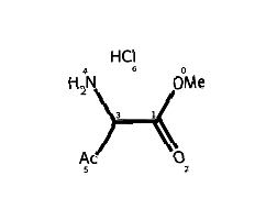 COC(=O)C(N)C(C)=O.Cl